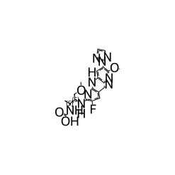 COC[C@@H](Nc1nc(Nc2cnc(OC)c(-n3nccn3)c2)c(C#N)cc1F)[C@H](C)NC(=O)O